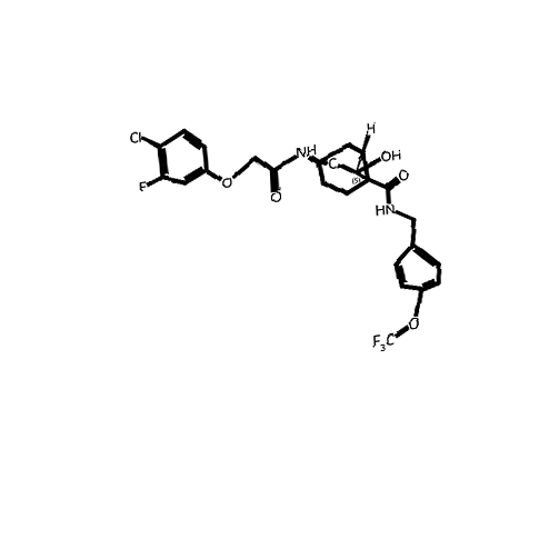 O=C(COc1ccc(Cl)c(F)c1)NC12CCC(C(=O)NCc3ccc(OC(F)(F)F)cc3)(CC1)[C@@H](O)C2